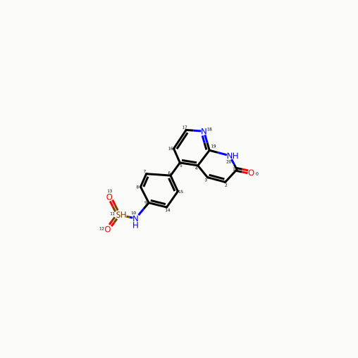 O=c1ccc2c(-c3ccc(N[SH](=O)=O)cc3)ccnc2[nH]1